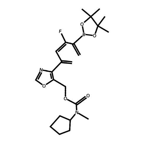 C=C(B1OC(C)(C)C(C)(C)O1)/C(F)=C\C(=C)c1ncoc1COC(=O)N(C)C1CCCC1